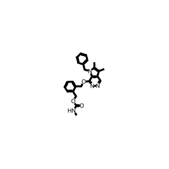 CNC(=O)OCc1ccccc1COc1nncc2c(C)c(C)n(Cc3ccccc3)c12